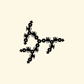 CC(C)(C)c1ccc(-c2nnc(-c3cc(-c4nnc(-c5ccc(-c6cc(-c7ccc(-c8nnc(-c9cc(-c%10nnc(-c%11ccc(C(C)(C)C)cc%11)o%10)cc(-c%10nnc(-c%11ccc(C(C)(C)C)cc%11)o%10)c9)o8)cc7)cc(-c7ccc(-c8nnc(-c9cc(-c%10nnc(-c%11ccc(C(C)(C)C)cc%11)o%10)cc(-c%10nnc(-c%11ccc(C(C)(C)C)cc%11)o%10)c9)o8)cc7)c6)cc5)o4)cc(-c4nnc(-c5ccc(C(C)(C)C)cc5)o4)c3)o2)cc1